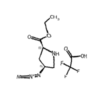 CCOC(=O)[C@@H]1C[C@H](N=[N+]=[N-])CN1.O=C(O)C(F)(F)F